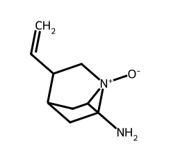 C=CC1C[N+]2([O-])CCC1CC2N